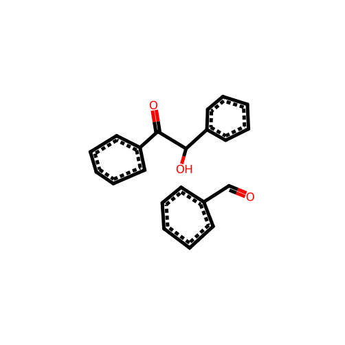 O=C(c1ccccc1)C(O)c1ccccc1.O=Cc1ccccc1